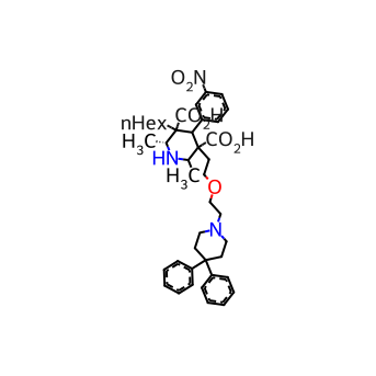 CCCCCCC1(C(=O)O)C(c2cccc([N+](=O)[O-])c2)C(CCOCCN2CCC(c3ccccc3)(c3ccccc3)CC2)(C(=O)O)C(C)N[C@@H]1C